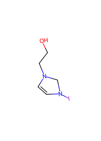 OCCN1C=CN(I)C1